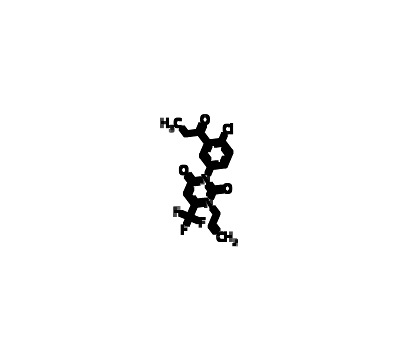 C=CCn1c(C(F)(F)F)cc(=O)n(-c2ccc(Cl)c(C(=O)CC)c2)c1=O